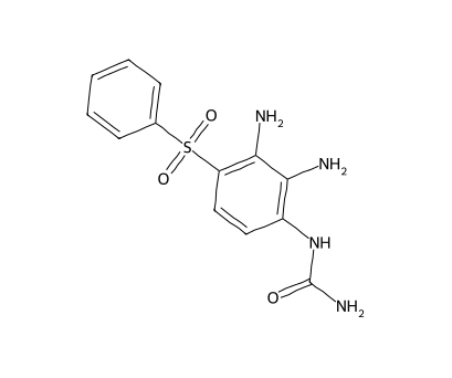 NC(=O)Nc1ccc(S(=O)(=O)c2ccccc2)c(N)c1N